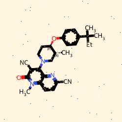 CCC(C)(C)c1ccc(O[C@@H]2CCN(c3c(C#N)c(=O)n(C)c4ccc(C#N)nc34)C[C@H]2C)cc1